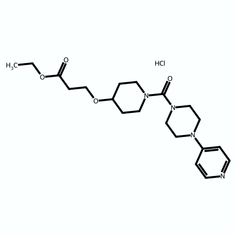 CCOC(=O)CCOC1CCN(C(=O)N2CCN(c3ccncc3)CC2)CC1.Cl